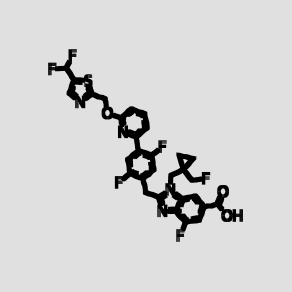 O=C(O)c1cc(F)c2nc(Cc3cc(F)c(-c4cccc(OCc5ncc(C(F)F)s5)n4)cc3F)n(CC3(CF)CC3)c2c1